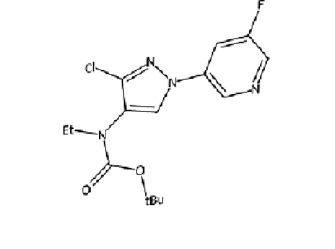 CCN(C(=O)OC(C)(C)C)c1cn(-c2cncc(F)c2)nc1Cl